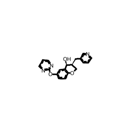 O[C@@H]1c2cc(Oc3ncccn3)ccc2OC[C@@H]1Cc1cccnc1